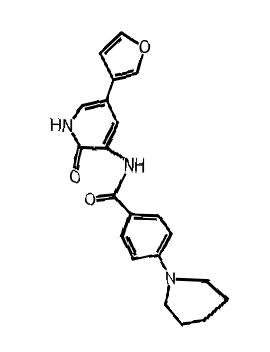 O=C(Nc1cc(-c2ccoc2)c[nH]c1=O)c1ccc(N2CCCCC2)cc1